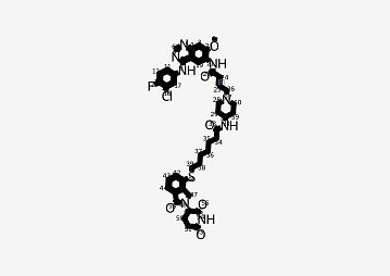 COc1cc2ncnc(Nc3ccc(F)c(Cl)c3)c2cc1NC(=O)/C=C/CN1CCC(NC(=O)CCCCCCSc2cccc3c2CN(C2CCC(=O)NC2=O)C3=O)CC1